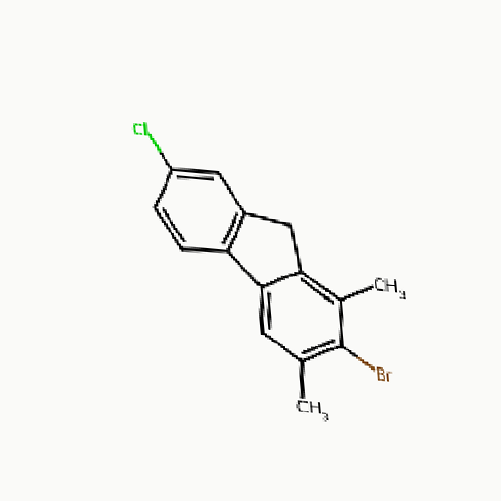 Cc1cc2c(c(C)c1Br)Cc1cc(Cl)ccc1-2